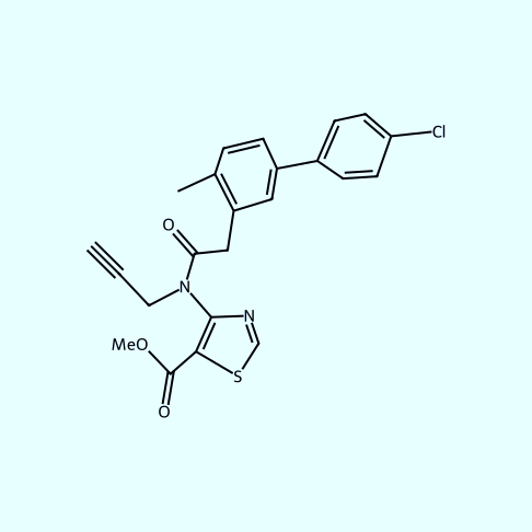 C#CCN(C(=O)Cc1cc(-c2ccc(Cl)cc2)ccc1C)c1ncsc1C(=O)OC